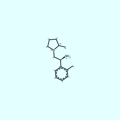 Cc1ccccc1[C@H](N)CN1CCCC1C